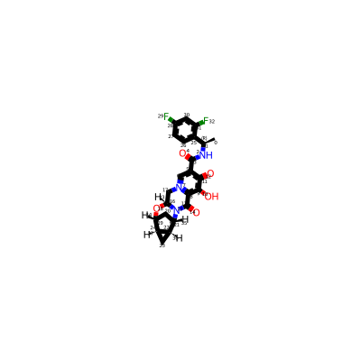 C[C@@H](NC(=O)c1cn2c(c(O)c1=O)C(=O)N1[C@H](C2)O[C@@H]2C[C@H]1[C@H]1C[C@H]12)c1ccc(F)cc1F